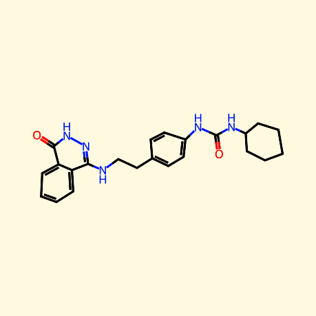 O=C(Nc1ccc(CCNc2n[nH]c(=O)c3ccccc23)cc1)NC1CCCCC1